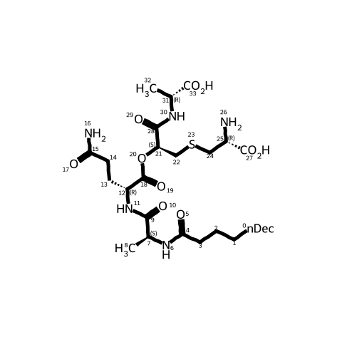 CCCCCCCCCCCCCC(=O)N[C@@H](C)C(=O)N[C@H](CCC(N)=O)C(=O)O[C@H](CSC[C@H](N)C(=O)O)C(=O)N[C@H](C)C(=O)O